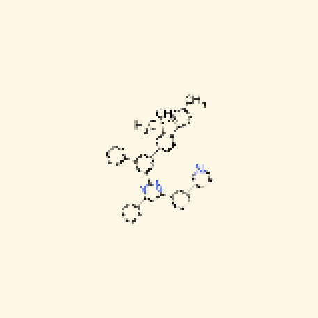 Cc1ccc2c(c1)C(C)(C)c1cc(-c3cc(-c4ccccc4)cc(-c4nc(-c5ccccc5)cc(-c5cccc(-c6cccnc6)c5)n4)c3)ccc1-2